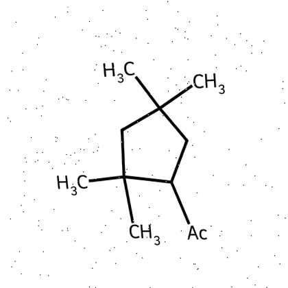 CC(=O)C1CC(C)(C)CC1(C)C